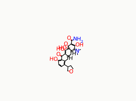 CN(C)[C@@H]1C(O)=C(C(N)=O)C(=O)[C@@]2(O)C(O)=C3C(=O)c4c(O)ccc(C5CCOC5)c4C[C@H]3C[C@@H]12